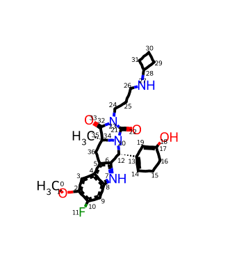 COc1cc2c3c([nH]c2cc1F)[C@@H](C1=CCCC(O)=C1)N1C(=O)N(CCCNC2CCC2)C(=O)[C@]1(C)C3